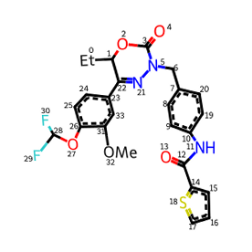 CCC1OC(=O)N(Cc2ccc(NC(=O)c3cccs3)cc2)N=C1c1ccc(OC(F)F)c(OC)c1